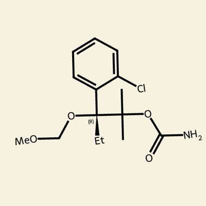 CC[C@@](OCOC)(c1ccccc1Cl)C(C)(C)OC(N)=O